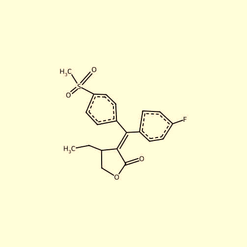 CCC1COC(=O)C1=C(c1ccc(F)cc1)c1ccc(S(C)(=O)=O)cc1